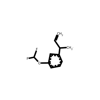 [CH2]C(C=C)c1cccc(OC(F)F)c1